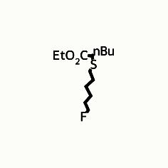 CCCCC(SCCCCCCF)C(=O)OCC